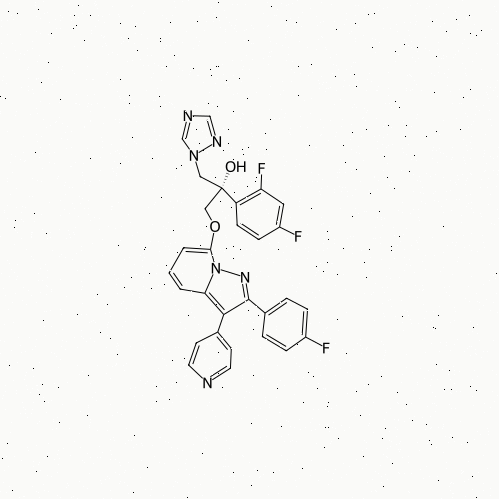 O[C@](COc1cccc2c(-c3ccncc3)c(-c3ccc(F)cc3)nn12)(Cn1cncn1)c1ccc(F)cc1F